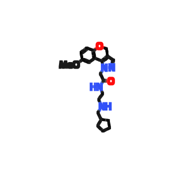 COc1ccc2c(c1)-c1c(cnn1CC(=O)NCCNCC1CCCC1)CO2